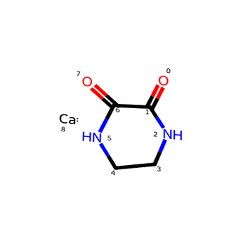 O=C1NCCNC1=O.[Ca]